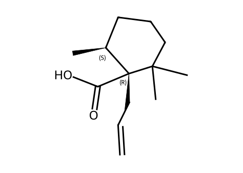 C=CC[C@@]1(C(=O)O)[C@@H](C)CCCC1(C)C